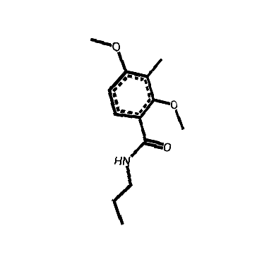 CCCNC(=O)c1ccc(OC)c(C)c1OC